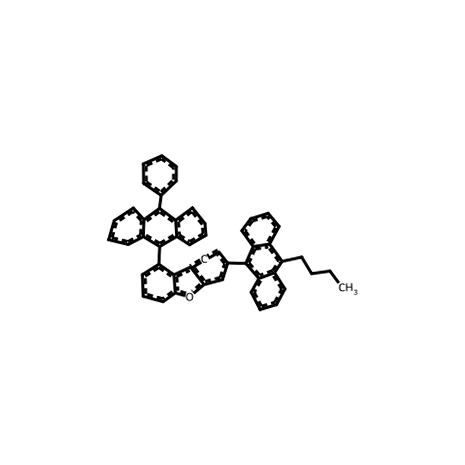 CCCCc1c2ccccc2c(-c2ccc3c(c2)oc2cccc(-c4c5ccccc5c(-c5ccccc5)c5ccccc45)c23)c2ccccc12